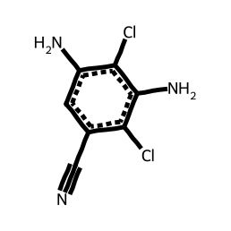 N#Cc1cc(N)c(Cl)c(N)c1Cl